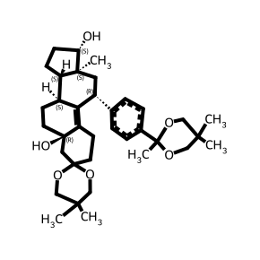 CC1(C)COC2(CCC3=C4[C@@H](CC[C@@]3(O)C2)[C@@H]2CC[C@H](O)[C@@]2(C)C[C@@H]4c2ccc(C3(C)OCC(C)(C)CO3)cc2)OC1